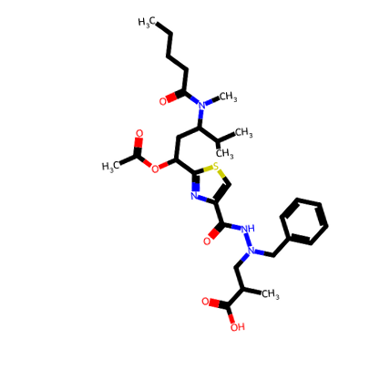 CCCCC(=O)N(C)C(CC(OC(C)=O)c1nc(C(=O)NN(Cc2ccccc2)CC(C)C(=O)O)cs1)C(C)C